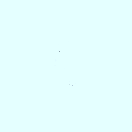 O=C(c1ccc(-c2cc3n(n2)CCCC3)cc1)N1CCN(C(=O)C2(O)CC2)CC1